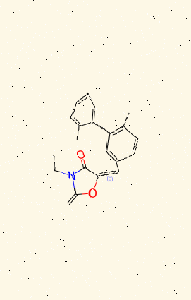 C=c1o/c(=C/c2ccc(C)c(-c3ccccc3C)c2)c(=O)n1CC